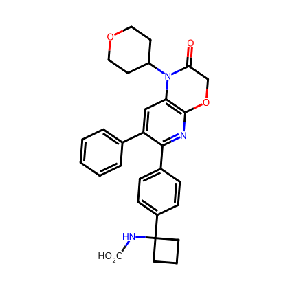 O=C(O)NC1(c2ccc(-c3nc4c(cc3-c3ccccc3)N(C3CCOCC3)C(=O)CO4)cc2)CCC1